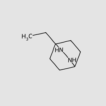 CCC12CCC(CC1)NN2